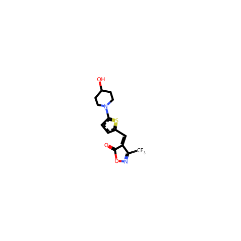 O=C1ON=C(C(F)(F)F)C1=Cc1ccc(N2CCC(O)CC2)s1